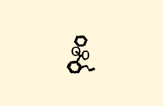 C=CCc1ccccc1C(=O)Oc1ccccc1